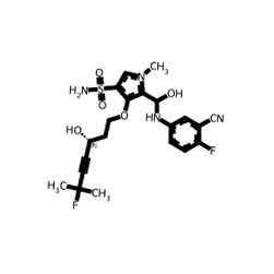 Cn1cc(S(N)(=O)=O)c(OCC[C@@H](O)C#CC(C)(C)F)c1C(O)Nc1ccc(F)c(C#N)c1